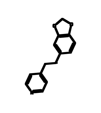 [CH](Cc1ccncc1)c1ccc2c(c1)OCO2